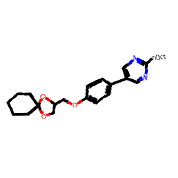 CCCCCCCCc1ncc(-c2ccc(OCC3COC4(CCCCC4)O3)cc2)cn1